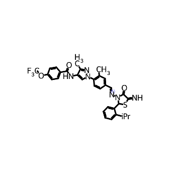 Cc1cc(/C=N/N2C(=O)C(=N)SC2c2ccccc2C(C)C)ccc1-n1cc(NC(=O)c2ccc(OC(F)(F)F)cc2)c(C)n1